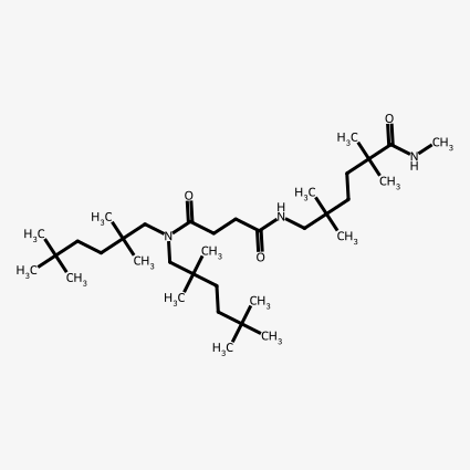 CNC(=O)C(C)(C)CCC(C)(C)CNC(=O)CCC(=O)N(CC(C)(C)CCC(C)(C)C)CC(C)(C)CCC(C)(C)C